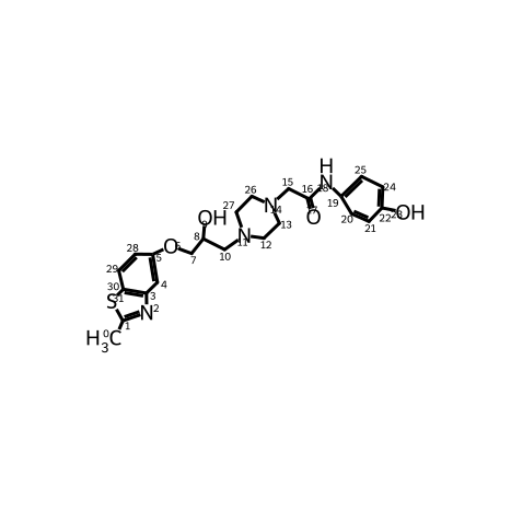 Cc1nc2cc(OCC(O)CN3CCN(CC(=O)Nc4ccc(O)cc4)CC3)ccc2s1